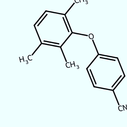 Cc1ccc(C)c(Oc2ccc(C#N)cc2)c1C